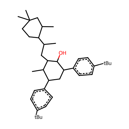 CC(CC1C(C)C(c2ccc(C(C)(C)C)cc2)CC(c2ccc(C(C)(C)C)cc2)C1O)C1CCC(C)(C)CC1C